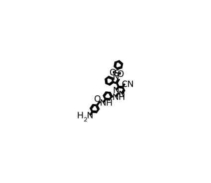 N#Cc1cnc(Nc2cccc(NC(=O)c3ccc(N)cc3)c2)nc1-c1cn(S(=O)(=O)c2ccccc2)c2ccccc12